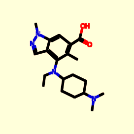 CCN(c1c(C)c(C(=O)O)cc2c1cnn2C)C1CCC(N(C)C)CC1